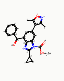 Cc1noc(C)c1-c1cc(C(=O)c2ccccc2)c2nc(C3CC3)n(C(=O)OC(C)(C)C)c2c1